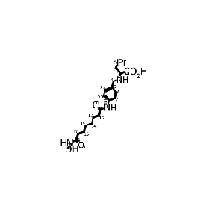 CC(C)CC(NCc1ccc(NC(=O)CCCCCCC(=O)NO)cc1)C(=O)O